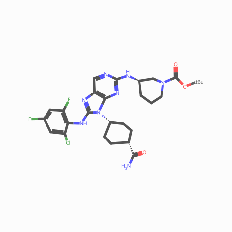 CC(C)(C)OC(=O)N1CCC[C@@H](Nc2ncc3nc(Nc4c(F)cc(F)cc4Cl)n([C@H]4CC[C@@H](C(N)=O)CC4)c3n2)C1